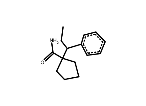 CCC(c1ccccc1)C1(C(N)=O)CCCC1